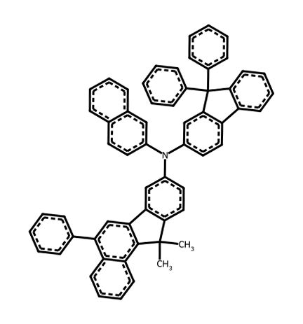 CC1(C)c2ccc(N(c3ccc4c(c3)C(c3ccccc3)(c3ccccc3)c3ccccc3-4)c3ccc4ccccc4c3)cc2-c2cc(-c3ccccc3)c3ccccc3c21